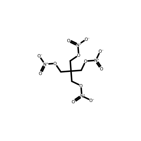 O=[N+]([O-])OCC(CO[N+](=O)[O-])(CO[N+](=O)[O-])CO[N+](=O)[O-]